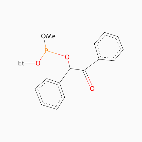 CCOP(OC)OC(C(=O)c1ccccc1)c1ccccc1